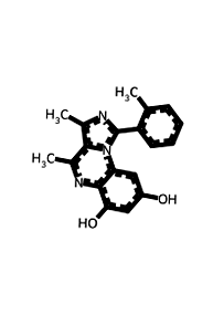 Cc1ccccc1-c1nc(C)c2c(C)nc3c(O)cc(O)cc3n12